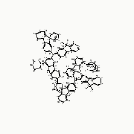 CC1(C)c2ccccc2-c2ccc(N(c3ccc4c(c3)C3(CC5CCC3C5)c3ccccc3-4)c3cc(C4CCCCC4)c4oc5cc(C67CCC(C6)C6(C7)c7ccccc7-c7ccc(N(c8ccc9c(c8)C(C)(C)c8ccccc8-9)c8cccc9c8oc8c(C%10%11CC%12CC(C%10)C(C%12)C%11)cccc89)cc76)ccc5c4c3)cc21